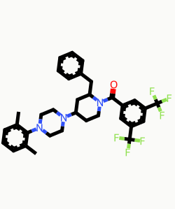 Cc1cccc(C)c1N1CCN(C2CCN(C(=O)c3cc(C(F)(F)F)cc(C(F)(F)F)c3)C(Cc3ccccc3)C2)CC1